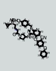 COc1ccc(Cn2nc(NC3CCN(C(=O)/C=C/CN(C)C4CC4)C3)c3c(Oc4ccc(Oc5ccccc5)cc4C#N)ccnc32)cc1